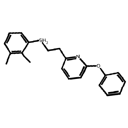 Cc1cccc([SiH2]C[CH]c2cccc(Oc3ccccc3)n2)c1C